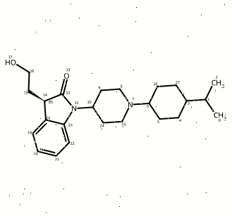 CC(C)C1CCC(N2CCC(N3C(=O)[C@H](CCO)c4ccccc43)CC2)CC1